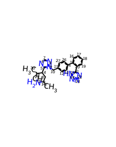 CC(N)CC(c1ncnn1Cc1ccc(-c2ccccc2-c2nnn[nH]2)cc1)C(C)C